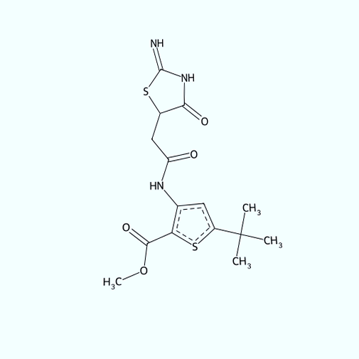 COC(=O)c1sc(C(C)(C)C)cc1NC(=O)CC1SC(=N)NC1=O